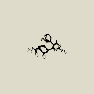 Cc1nc(N)nc(-c2ccc(C(N)=O)c(Cl)c2)c1-c1cccnc1